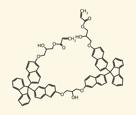 C=CC(=O)OCC(O)COc1ccc2cc(C3(c4ccc5cc(OCC(O)COc6ccc7cc(C8(c9ccc%10cc(OCC(O)COC(=O)C=C)ccc%10c9)c9ccccc9-c9ccccc98)ccc7c6)ccc5c4)c4ccccc4-c4ccccc43)ccc2c1